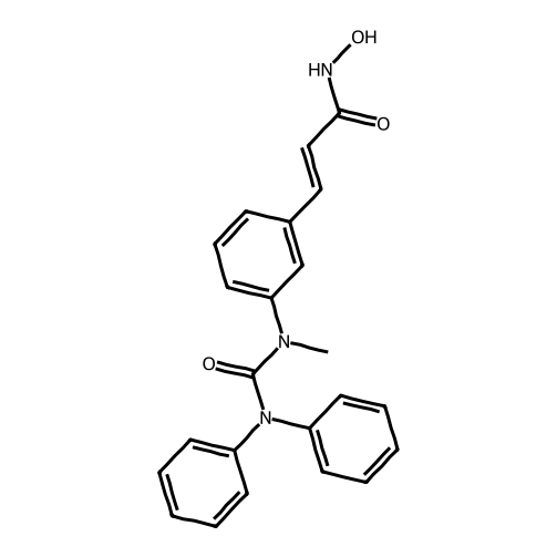 CN(C(=O)N(c1ccccc1)c1ccccc1)c1cccc(C=CC(=O)NO)c1